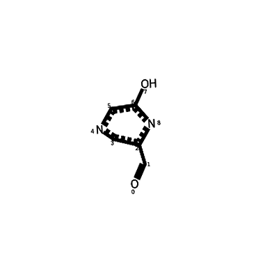 O=Cc1cncc(O)n1